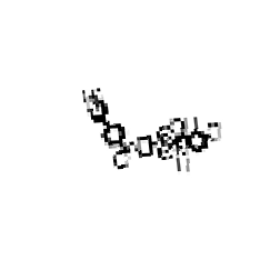 O=C(c1ccc(-c2cc[n+]([O-])cc2)cc1)N1CCN(S(=O)(=O)c2[nH]c3ccc(Cl)cc3c2O)CC1